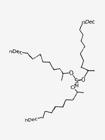 CCCCCCCCCCCCCCCCCC(C)O[SiH](OC(C)CCCCCCCCCCCCCCCCC)OC(C)CCCCCCCCCCCCCCCCC